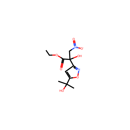 CCOC(=O)C(O)(C[N+](=O)[O-])c1cc(C(C)(C)O)on1